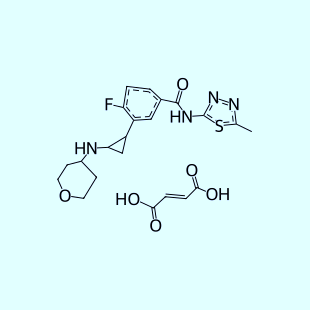 Cc1nnc(NC(=O)c2ccc(F)c(C3CC3NC3CCOCC3)c2)s1.O=C(O)/C=C/C(=O)O